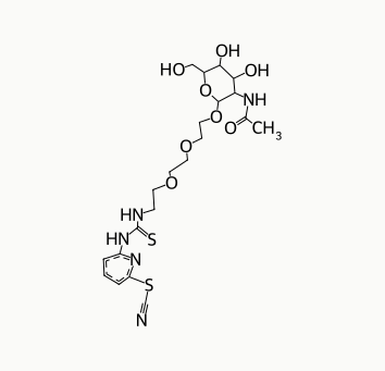 CC(=O)NC1C(OCCOCCOCCNC(=S)Nc2cccc(SC#N)n2)OC(CO)C(O)C1O